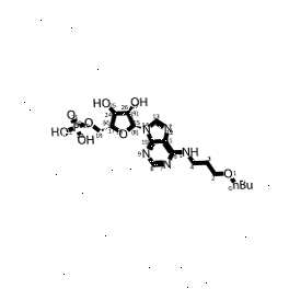 CCCCOCCCNc1ncnc2c1ncn2[C@@H]1O[C@H](COP(=O)(O)O)C(O)[C@H]1O